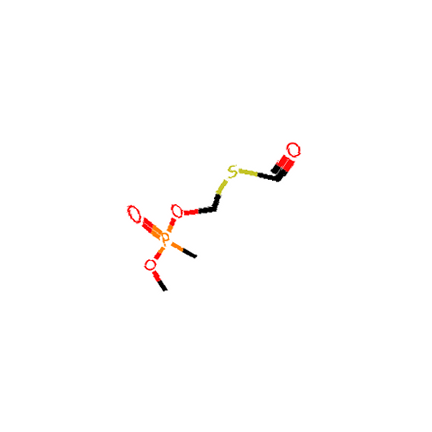 COP(C)(=O)OCSC=O